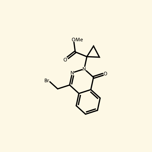 COC(=O)C1(n2nc(CBr)c3ccccc3c2=O)CC1